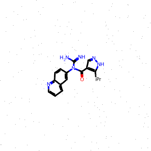 CC(C)c1[nH]ncc1C(=O)N(C(=N)N)c1ccc2ncccc2c1